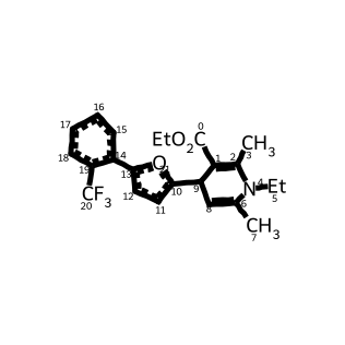 CCOC(=O)C1=C(C)N(CC)C(C)=CC1c1ccc(-c2ccccc2C(F)(F)F)o1